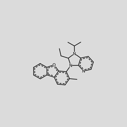 CCC1N(c2c(C)ccc3c2oc2ccccc23)c2ncccc2N1C(C)C